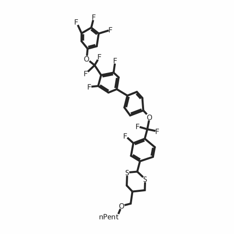 CCCCCOCC1CSC(c2ccc(C(F)(F)Oc3ccc(-c4cc(F)c(C(F)(F)Oc5cc(F)c(F)c(F)c5)c(F)c4)cc3)c(F)c2)SC1